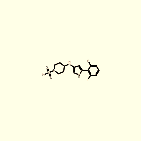 CCS(=O)(=O)N1CCC(Nc2cc(-c3c(F)cccc3F)[nH]n2)CC1